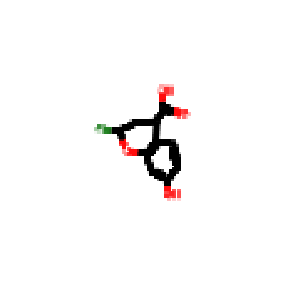 O=C(O)C1CC(Cl)Oc2cc(O)ccc21